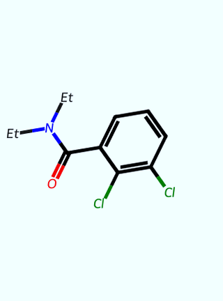 CCN(CC)C(=O)c1cccc(Cl)c1Cl